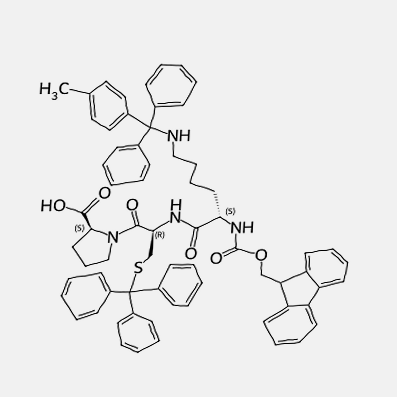 Cc1ccc(C(NCCCC[C@H](NC(=O)OCC2c3ccccc3-c3ccccc32)C(=O)N[C@@H](CSC(c2ccccc2)(c2ccccc2)c2ccccc2)C(=O)N2CCC[C@H]2C(=O)O)(c2ccccc2)c2ccccc2)cc1